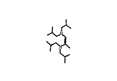 CC(=CN(CC(C)C)CC(C)C)N(CC(C)C)CC(C)C